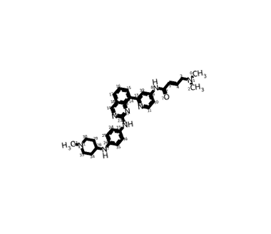 CN(C)CC=CC(=O)Nc1ccnc(-c2cccc3cnc(Nc4ccc(NC5CCN(C)CC5)cc4)nc23)c1